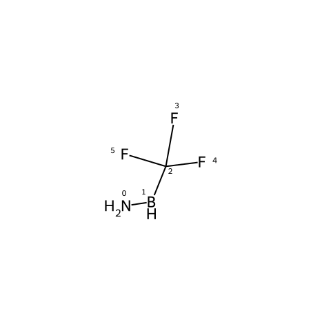 NBC(F)(F)F